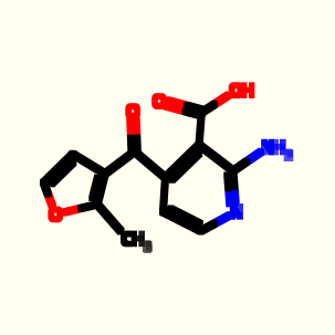 Cc1occc1C(=O)c1ccnc(N)c1C(=O)O